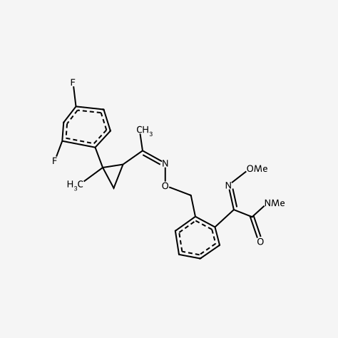 CNC(=O)C(=NOC)c1ccccc1CON=C(C)C1CC1(C)c1ccc(F)cc1F